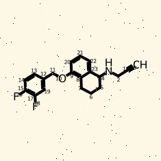 C#CCNC1CCCc2c(OCc3ccc(F)c(F)c3)cccc21